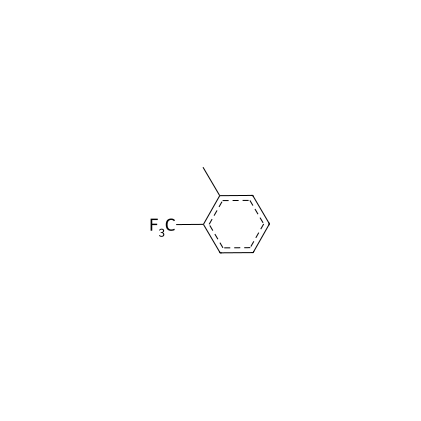 Cc1ccccc1C(F)(F)F